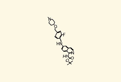 CN1CCC(OCc2ccc(CNc3ccc4c(NC(=O)OC(C)(C)C)nccc4c3)c(F)c2)CC1